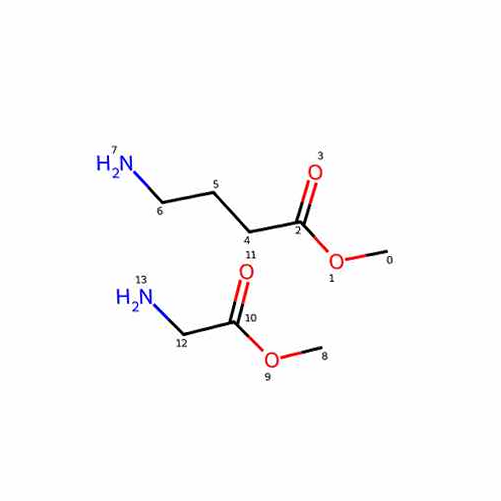 COC(=O)CCCN.COC(=O)CN